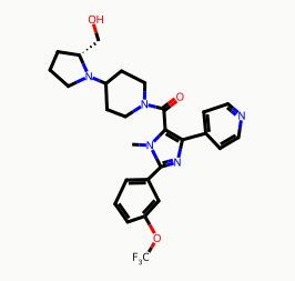 Cn1c(-c2cccc(OC(F)(F)F)c2)nc(-c2ccncc2)c1C(=O)N1CCC(N2CCC[C@@H]2CO)CC1